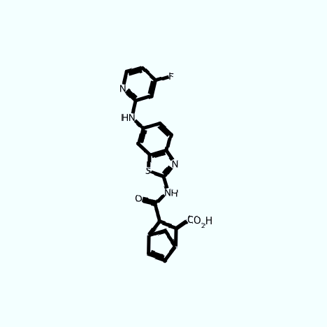 O=C(O)C1C2C=CC(C2)C1C(=O)Nc1nc2ccc(Nc3cc(F)ccn3)cc2s1